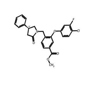 COC(=O)c1ccc(CN2C[C@H](c3ccccc3)CC2=O)c(Oc2ccc(Cl)c(F)c2)c1